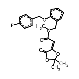 CN(Cc1ccccc1OCc1ccc(F)cc1)C(=O)C=C1OC(C)(C)OC1=O